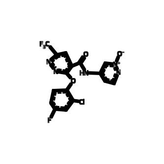 O=C(Nc1ccn[n+]([O-])c1)c1cc(C(F)(F)F)nnc1Oc1ccc(F)cc1Cl